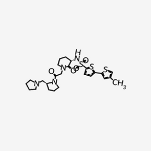 Cc1csc(-c2ccc(S(=O)(=O)N[C@H]3CCCN(CC(=O)N4CCC[C@H]4CN4CCCC4)C3=O)s2)c1